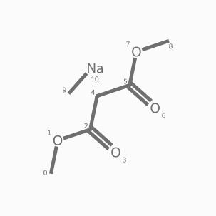 COC(=O)CC(=O)OC.[CH3][Na]